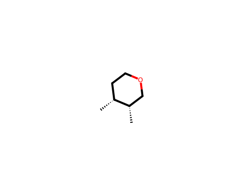 C[C@@H]1CCOC[C@@H]1C